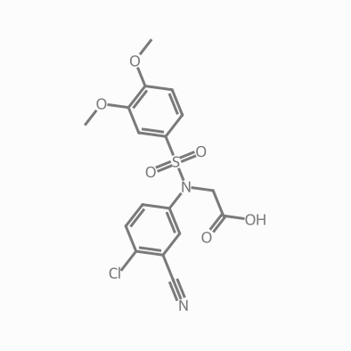 COc1ccc(S(=O)(=O)N(CC(=O)O)c2ccc(Cl)c(C#N)c2)cc1OC